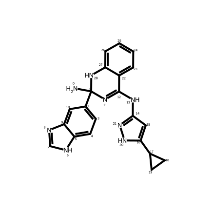 NC1(c2ccc3[nH]cnc3c2)N=C(Nc2cc(C3CC3)[nH]n2)c2ccccc2N1